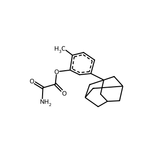 Cc1ccc(C23CC4CC(CC(C4)C2)C3)cc1OC(=O)C(N)=O